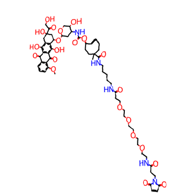 COc1cccc2c1C(=O)c1c(O)c3c(c(O)c1C2=O)CC(O)(C(=O)CO)CC3OC1CC(NC(=O)OC2/C=C/CCC(C)(C(=O)NCCCCCNC(=O)CCOCCOCCOCCOCCNC(=O)CCN3C(=O)C=CC3=O)CC2)C(O)CO1